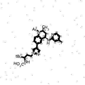 CC(=O)N1c2ccc(-c3cnn(CCC(NC(=O)O)C(C)(C)C)c3)cc2[C@H](Nc2cc(F)ccn2)C[C@@H]1C